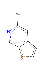 CCc1cc2ccsc2cn1